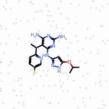 CC(C)Oc1cc(Nc2nc(N)nc(N)c2C(C)c2ccc(F)cn2)n[nH]1